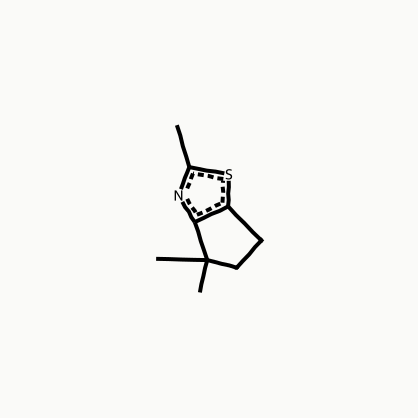 Cc1nc2c(s1)CCC2(C)C